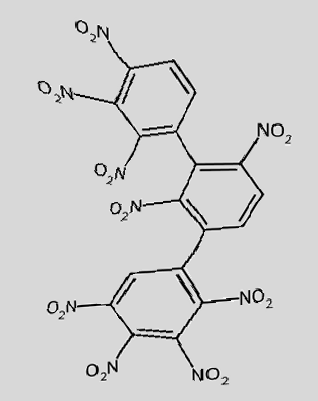 O=[N+]([O-])c1ccc(-c2cc([N+](=O)[O-])c([N+](=O)[O-])c([N+](=O)[O-])c2[N+](=O)[O-])c([N+](=O)[O-])c1-c1ccc([N+](=O)[O-])c([N+](=O)[O-])c1[N+](=O)[O-]